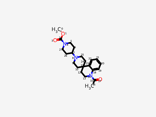 COC(=O)N1CCC(N2CCC3(CCN(C(C)=O)c4ccccc43)CC2)CC1